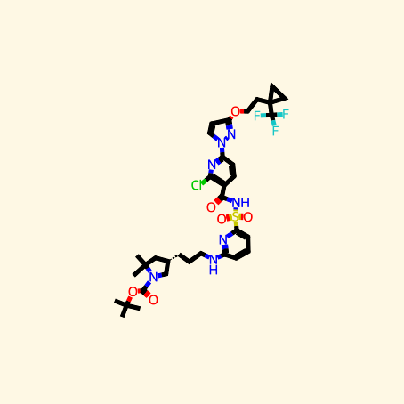 CC(C)(C)OC(=O)N1C[C@@H](CCCNc2cccc(S(=O)(=O)NC(=O)c3ccc(-n4ccc(OCCC5(C(F)(F)F)CC5)n4)nc3Cl)n2)CC1(C)C